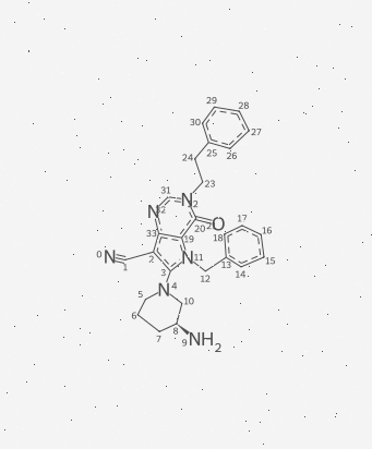 N#Cc1c(N2CCC[C@H](N)C2)n(Cc2ccccc2)c2c(=O)n(CCc3ccccc3)cnc12